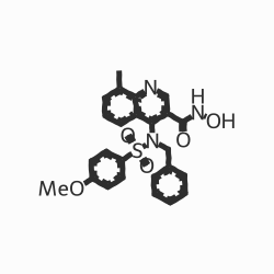 COc1ccc(S(=O)(=O)N(Cc2ccccc2)c2c(C(=O)NO)cnc3c(C)cccc23)cc1